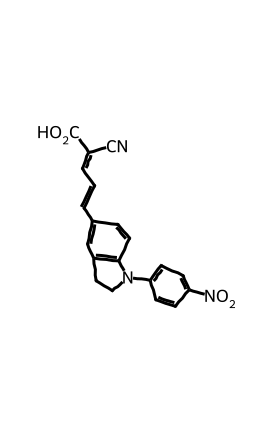 N#C/C(=C\C=C\c1ccc2c(c1)CCN2c1ccc([N+](=O)[O-])cc1)C(=O)O